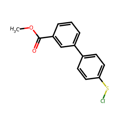 COC(=O)c1cccc(-c2ccc(SCl)cc2)c1